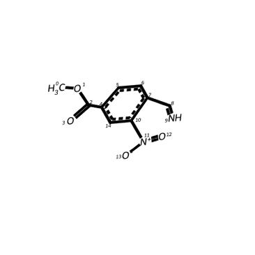 COC(=O)c1ccc(C=N)c([N+](=O)[O-])c1